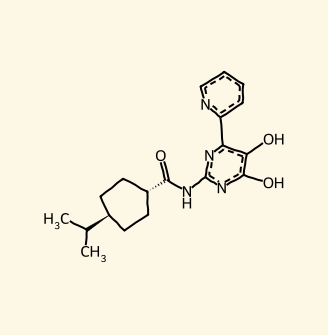 CC(C)[C@H]1CC[C@H](C(=O)Nc2nc(O)c(O)c(-c3ccccn3)n2)CC1